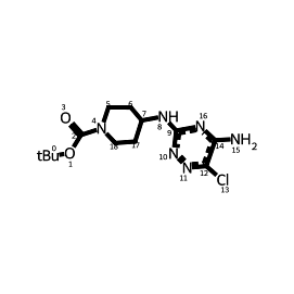 CC(C)(C)OC(=O)N1CCC(Nc2nnc(Cl)c(N)n2)CC1